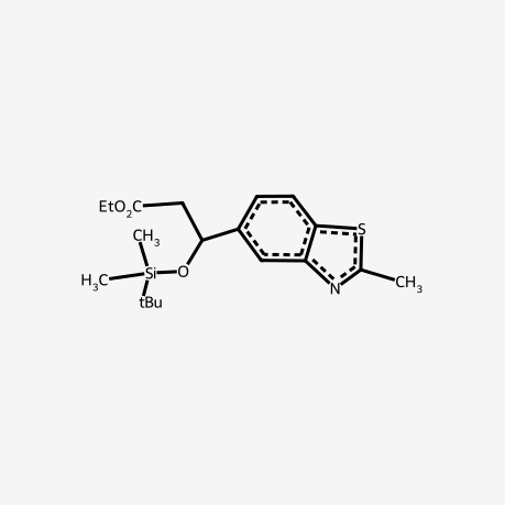 CCOC(=O)CC(O[Si](C)(C)C(C)(C)C)c1ccc2sc(C)nc2c1